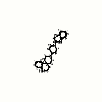 c1ccc2c(c1)NCCC21CCN(C2CCN(c3cnc4ccccc4n3)CC2)CC1